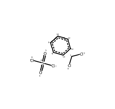 ClCCl.O=S(=O)(Cl)Cl.c1ccccc1